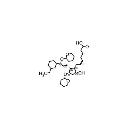 CCC1CCCC([C@@H](/C=C/[C@@H]2[C@@H](C/C=C\CCCC(=O)O)[C@@H](O)C[C@H]2OC2CCCCO2)OC2CCCCO2)C1